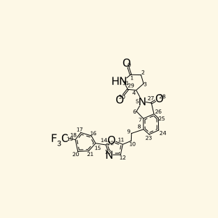 O=C1CCC(N2Cc3c(CCc4cnc(-c5ccc(C(F)(F)F)cc5)o4)cccc3C2=O)C(=O)N1